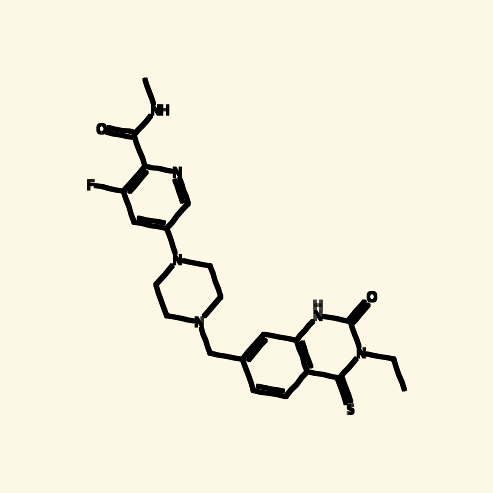 CCn1c(=O)[nH]c2cc(CN3CCN(c4cnc(C(=O)NC)c(F)c4)CC3)ccc2c1=S